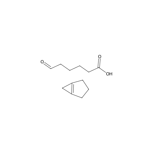 C1CC2=C(C1)C2.O=CCCCCC(=O)O